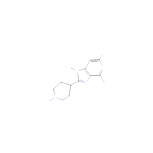 CC(=O)N1CCC(c2nc3c(Cl)nc(Cl)cc3n2C)CC1